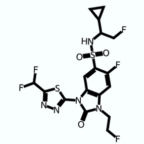 O=c1n(CCF)c2cc(F)c(S(=O)(=O)NC(CF)C3CC3)cc2n1-c1nnc(C(F)F)s1